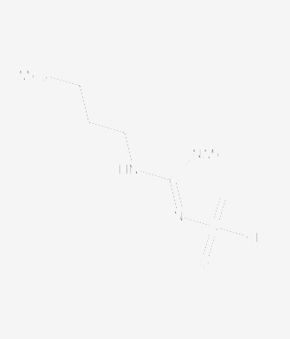 CN/C(=N\S(C)(=O)=O)NCCCSC